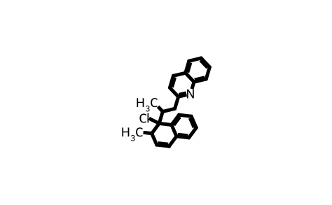 CC1C=Cc2ccccc2C1(Cl)C(C)Cc1ccc2ccccc2n1